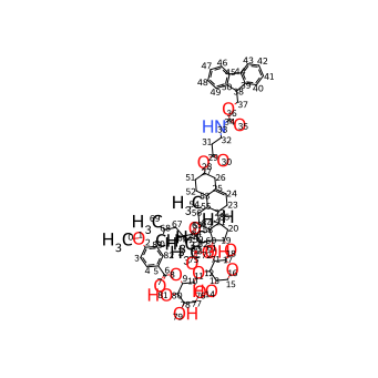 COc1ccc(C(=O)OC2C(OC3C(O)COC(O[C@H]4C[C@H]5[C@@H]6CC=C7C[C@@H](OC(=O)CCNC(=O)OCC8c9ccccc9-c9ccccc98)CC[C@]7(C)C6CC[C@]5(C)[C@@]4(O)[C@H](C)C(=O)CCC(C)C)C3OC(C)=O)OCC(O)C2O)cc1